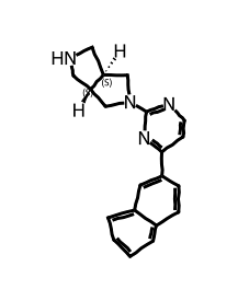 c1ccc2cc(-c3ccnc(N4C[C@@H]5CNC[C@H]5C4)n3)ccc2c1